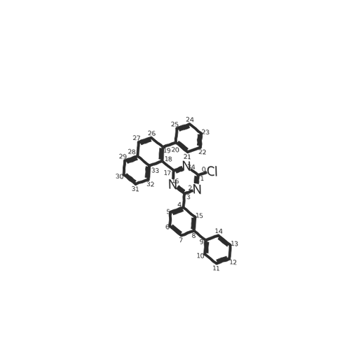 Clc1nc(-c2cccc(-c3ccccc3)c2)nc(-c2c(-c3ccccc3)ccc3ccccc23)n1